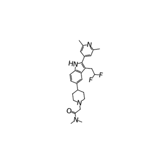 Cc1cc(-c2[nH]c3ccc(C4CCN(CC(=O)N(C)C)CC4)cc3c2CC(F)F)cc(C)n1